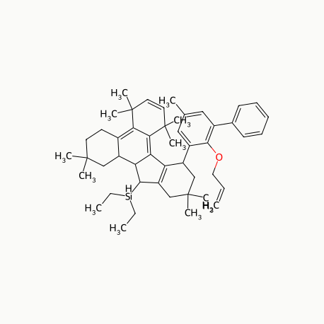 C=CCOc1c(-c2ccccc2)cc(C)cc1C1CC(C)(C)CC2=C1C1=C3C(=C4CCC(C)(C)CC4C1C2[SiH](CC)CC)C(C)(C)C=CC3(C)C